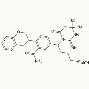 C#CCCCC(c1ccc(C2COc3ccccc3C2)c(C(N)=O)c1)N1C(=N)NC(CC)(CC)CC1=O